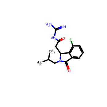 CC(C)CN1C(=O)c2cccc(F)c2C1CC(=O)NC(=N)N